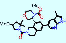 COC1CN(C(=O)N2CCc3cc(-c4cnc5[nH]cc(C)c5c4)cc([C@@H]4COCCN4C(=O)OC(C)(C)C)c3C2)C(C)(C)C1